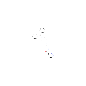 O=C(NCCN1CCN(C(c2ccccc2)c2ccccc2)CC1)c1cccnc1